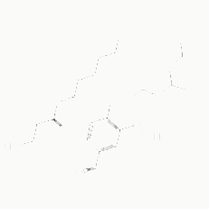 CCCCCCOC(=O)C(O)CO.CCOC(C)OCC.COc1cc(C=O)ccc1O